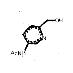 CC(=O)Nc1ccc(CO)nc1